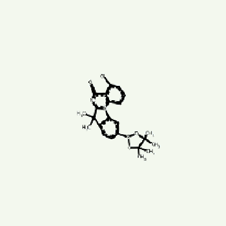 CC1(C)c2ccc(B3OC(C)(C)C(C)(C)O3)cc2-n2c1nc(=O)c1c(Cl)cccc12